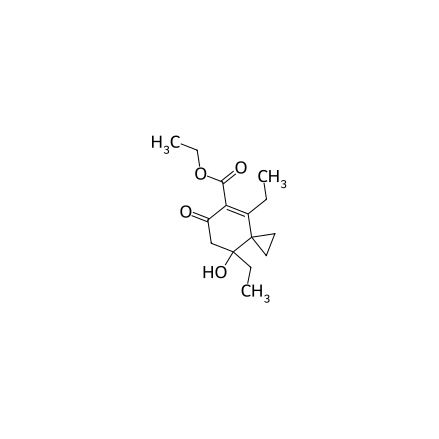 CCOC(=O)C1=C(CC)C2(CC2)C(O)(CC)CC1=O